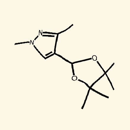 Cc1nn(C)cc1C1OC(C)(C)C(C)(C)O1